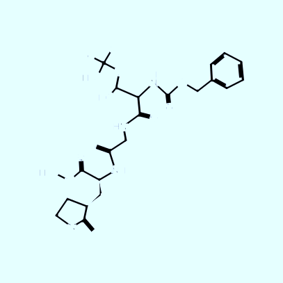 COC(=O)[C@H](C[C@@H]1CCNC1=O)NC(=O)CNC(=O)C(NC(=O)OCc1ccccc1)C(C)OC(C)(C)C